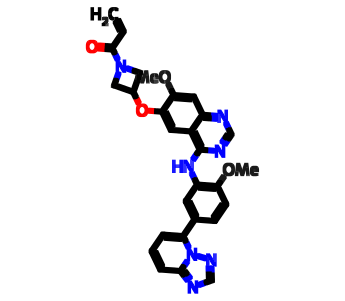 C=CC(=O)N1CC(Oc2cc3c(Nc4cc(-c5cccc6ncnn56)ccc4OC)ncnc3cc2OC)C1